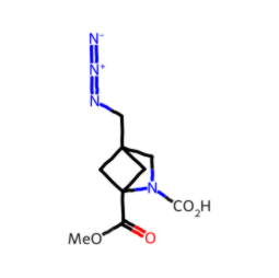 COC(=O)C12CC(CN=[N+]=[N-])(CN1C(=O)O)C2